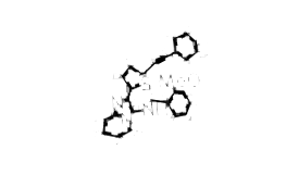 COc1ccccc1CNc1c(-c2ccc(C#Cc3ccccc3)s2)nc2ccccn12